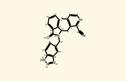 Cc1ccnc(C#N)c1CC1c2ccccc2C(=O)N1Cc1ccc2[nH]nnc2c1